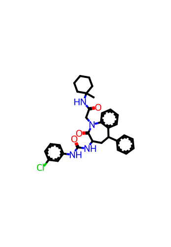 CC1(NC(=O)CN2C(=O)C(NC(=O)Nc3cccc(Cl)c3)CC(c3ccccc3)c3ccccc32)CCCCC1